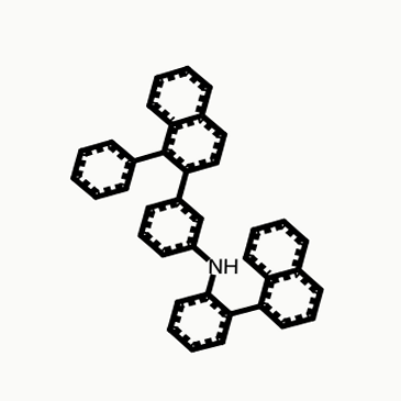 c1ccc(-c2c(-c3cccc(Nc4ccccc4-c4cccc5ccccc45)c3)ccc3ccccc23)cc1